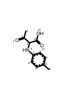 CC(=O)C(Nc1ccc(C)cc1)C(=O)O